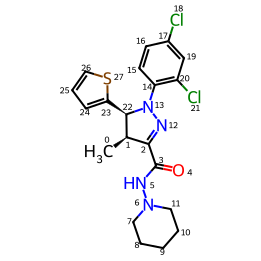 C[C@@H]1C(C(=O)NN2CCCCC2)=NN(c2ccc(Cl)cc2Cl)[C@@H]1c1cccs1